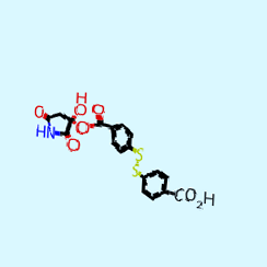 O=C1CC(O)(OC(=O)c2ccc(SSc3ccc(C(=O)O)cc3)cc2)C(=O)N1